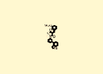 COc1cccc2cc(C(=O)Nc3cccc(-c4cccc5[nH]ccc45)c3)c(=O)oc12